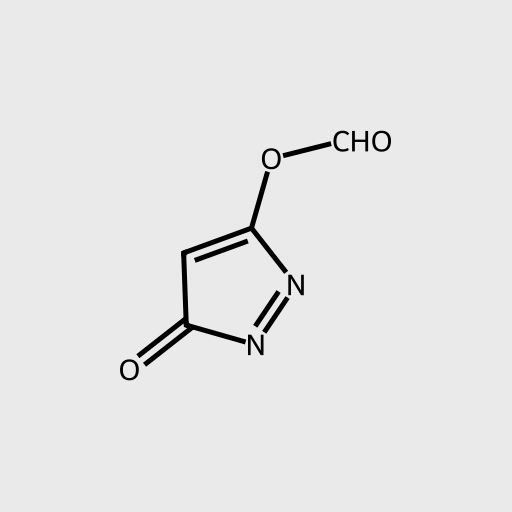 O=COC1=CC(=O)N=N1